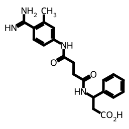 Cc1cc(NC(=O)CCC(=O)NC(CC(=O)O)c2ccccc2)ccc1C(=N)N